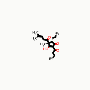 CC(C)=CCC(=O)C1(C)C(O)=C(C(=O)CCC(C)C)C(=O)[C@H]1CCC(C)C